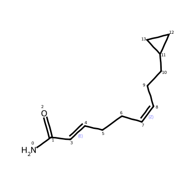 NC(=O)/C=C/CC/C=C\CCC1CC1